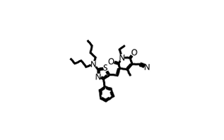 CCCCN(CCCC)c1nc(-c2ccccc2)c(/C=C2\C(=O)N(CC)C(=O)C(C#N)=C2C)s1